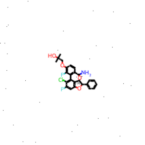 C[C@H]1c2c(cc(F)c(Cl)c2-c2c(C(N)=O)ccc(OCC(C)(C)O)c2F)OC1c1ccccc1